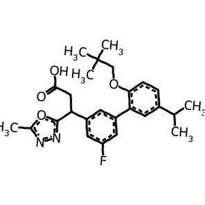 Cc1nnc(C(CC(=O)O)c2cc(F)cc(-c3cc(C(C)C)ccc3OCC(C)(C)C)c2)o1